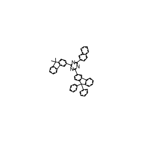 CC1(C)c2ccccc2-c2cc(-c3nc(-c4ccc5c(c4)-c4ccccc4C5(c4ccccc4)c4ccccc4)nc(-c4ccc5ccccc5c4)n3)ccc21